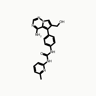 Cc1cccc(NC(=O)Nc2ccc(-c3c(CO)cn4ncnc(N)c34)cc2)n1